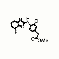 COC(=O)Cc1ccc(Nc2nc3cccc(F)c3o2)c(Cl)c1